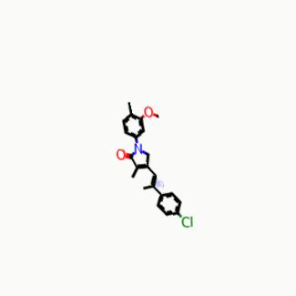 COc1cc(N2CC(/C=C(\C)c3ccc(Cl)cc3)=C(C)C2=O)ccc1C